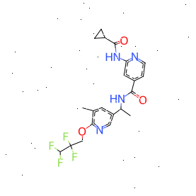 Cc1cc(C(C)NC(=O)c2ccnc(NC(=O)C3CC3)c2)cnc1OCC(F)(F)C(F)F